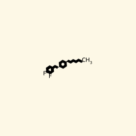 CCCCCCC[C@H]1CC[C@H](CCc2ccc(F)c(F)c2)CC1